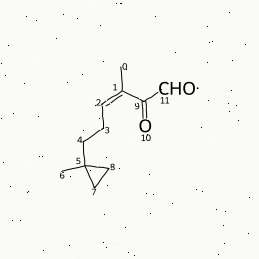 CC(=CCCC1(C)CC1)C(=O)[C]=O